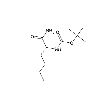 CCCC[C@@H](NC(=O)OC(C)(C)C)C(N)=O